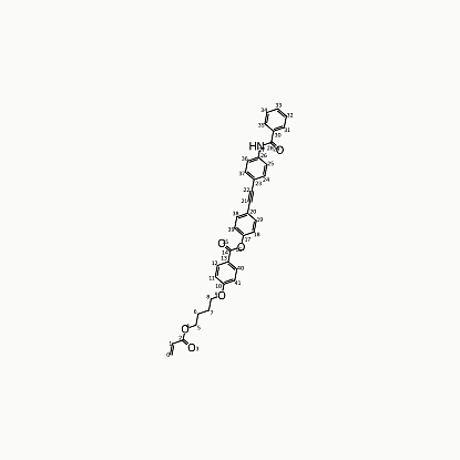 C=CC(=O)OCCCCOc1ccc(C(=O)Oc2ccc(C#Cc3ccc(NC(=O)c4ccccc4)cc3)cc2)cc1